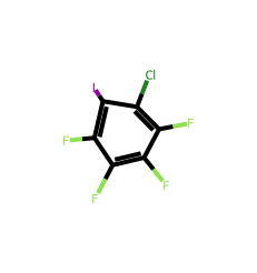 Fc1c(F)c(F)c(I)c(Cl)c1F